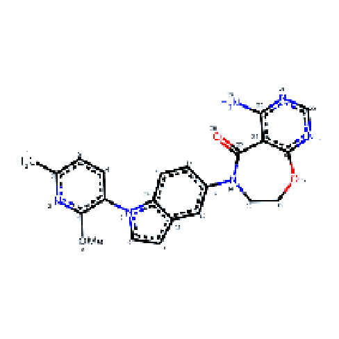 COc1nc(C)ccc1-n1ccc2cc(N3CCOc4ncnc(N)c4C3=O)ccc21